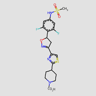 CS(=O)(=O)Nc1cc(F)c(C2CC(c3csc(C4CCN(C(=O)O)CC4)n3)=NO2)c(F)c1